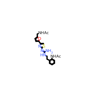 CC(=O)NCc1ccc(-c2csc(/N=C(\N)NCCc3ccccc3NC(C)=O)n2)o1